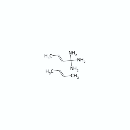 CC=CC.CC=CC(N)(N)N